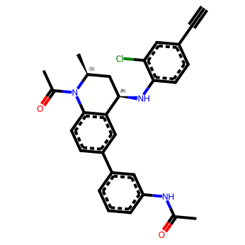 C#Cc1ccc(N[C@@H]2C[C@H](C)N(C(C)=O)c3ccc(-c4cccc(NC(C)=O)c4)cc32)c(Cl)c1